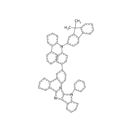 CC1(C)c2ccccc2-c2ccc(N(c3ccc(-c4ccc5c(c4)c4ccccc4c4nc6c7ccccc7n(-c7ccccc7)c6n54)cc3)c3ccccc3-c3ccccc3)cc21